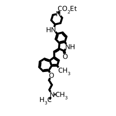 CCOC(=O)N1CCC(Nc2ccc3c(c2)C(=Cc2cc(C)c4c(OCCCN(C)C)ccccc2-4)C(=O)N3)CC1